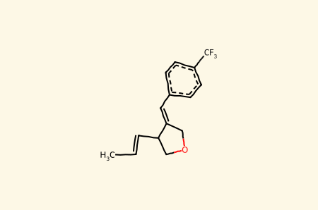 C/C=C/C1COC/C1=C\c1ccc(C(F)(F)F)cc1